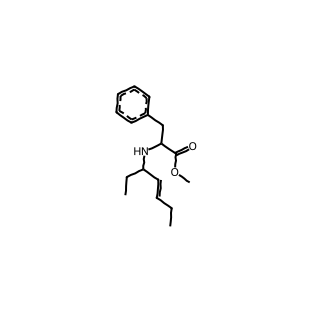 CC/C=C/C(CC)NC(Cc1ccccc1)C(=O)OC